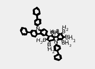 Bc1c(B)c(B)c2c(c1B)c1c(B)c(-c3ccc4c(c3)c3ccc(-c5ccccc5)cc3n4-c3ccc(-c4ccccc4)cc3)c(B)c(B)c1n2-c1ccc(-c2ccccc2)cc1